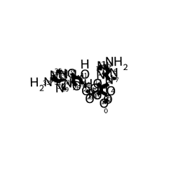 COO[C@H]1O[C@@H](n2cnc3c(N)ncnc32)C(O)C1OP(=O)(O)OC[C@H]1O[C@@H](n2cnc3c(N)ncnc32)C(O)C1O